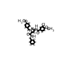 COc1ccc(Cn2nc(NC(=O)c3ccc(OC)c(Cl)c3)cc2C(=O)NCc2ccccc2)cc1